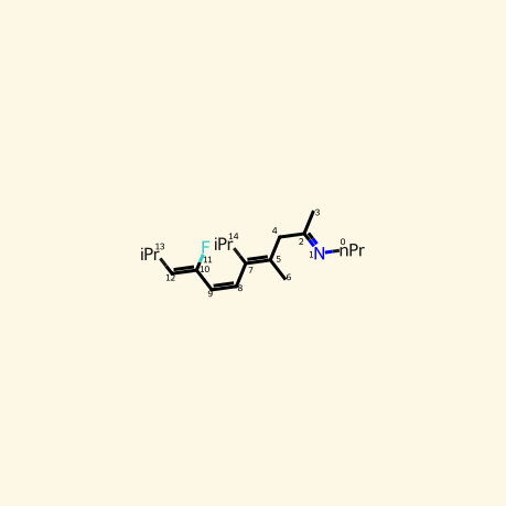 CCCN=C(C)C/C(C)=C(/C=C\C(F)=C\C(C)C)C(C)C